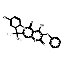 CC1(C)c2cc3oc(=O)c(Sc4ccccc4)c(O)c3c(=O)n2C2C=CC(Cl)=CC21